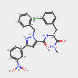 CNC(=O)[C@H](Cc1cccc(Br)c1)NC(=O)c1cc(-c2cccc([N+](=O)[O-])c2)nn1Cc1ccccc1